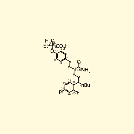 CCCCC(CCN(CCc1ccc(OC(C)(CC)C(=O)O)cc1)C(N)=O)c1ccc(F)cc1F